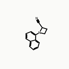 N#CC1CCN1c1cccc2ccccc12